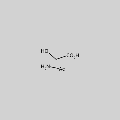 CC(N)=O.O=C(O)CO